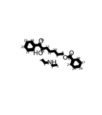 CCNCC.O=C(OCCCCCC(O)C(=O)c1ccccc1)c1ccccc1